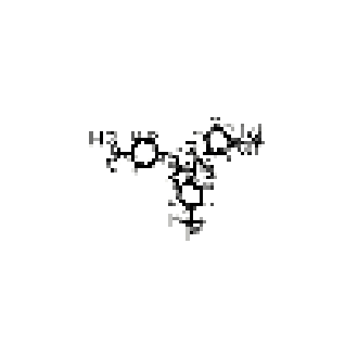 O=C(O)c1ccc(Cc2cc3cc(C(F)(F)F)ccc3n2S(=O)(=O)c2cccc(OC(F)(F)F)c2)cc1